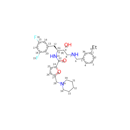 CCc1cccc(CNC[C@@H](O)[C@H](Cc2cc(F)cc(F)c2)NC(=O)c2ccc(CN3CCCCC3)o2)c1